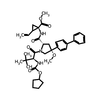 C=CC1C[C@]1(NC(=O)[C@@H]1C[C@@](OC)(c2ccc(-c3ccccc3)cc2)CN1C(=O)[C@@H](NC(=O)OC1CCCC1)C(C)(C)C)C(=O)OC